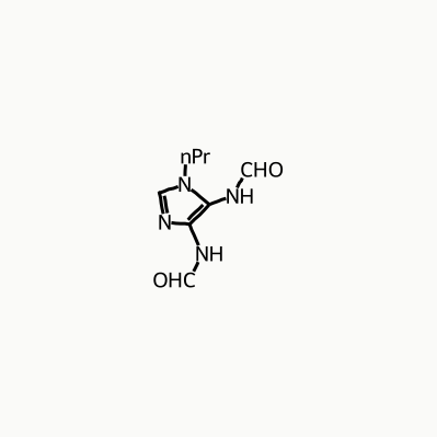 CCCn1cnc(NC=O)c1NC=O